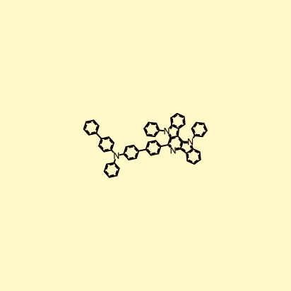 c1ccc(-c2ccc(N(c3ccccc3)c3ccc(-c4ccc(-c5nc6c7ccccc7n(-c7ccccc7)c6c6c7ccccc7n(-c7ccccc7)c56)cc4)cc3)cc2)cc1